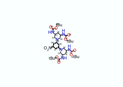 CC(C)(C)OC(=O)NC1CC(NC(=O)OC(C)(C)C)CN(c2cc(N3CC(NC(=O)OC(C)(C)C)CC(NC(=O)OC(C)(C)C)C3)cc([N+](=O)[O-])c2)C1